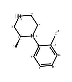 C[C@H]1CNCCN1c1ccccc1F